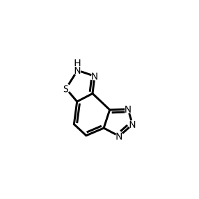 c1cc2s[nH]nc2c2nnnc12